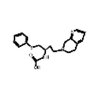 O=C(O)N[C@H](CCN1CCc2cccnc2C1)CSc1ccccc1